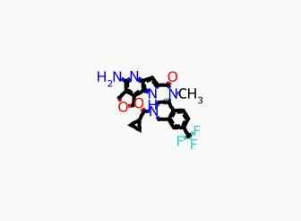 CN(C(=O)c1cc2nc(N)c3c(c2[nH]1)COC3)[C@@H]1CN(C(=O)C2CC2)Cc2cc(C(F)(F)F)ccc21